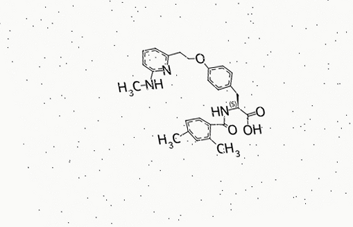 CNc1cccc(CCOc2ccc(C[C@H](NC(=O)c3ccc(C)cc3C)C(=O)O)cc2)n1